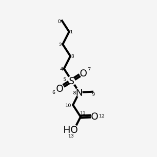 CCCCCS(=O)(=O)N(C)CC(=O)O